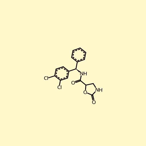 O=C1NCC(C(=O)N[C@H](c2ccccc2)c2ccc(Cl)c(Cl)c2)O1